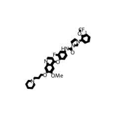 COc1cc2c(Oc3ccc(NC(=O)N4C=CN(c5ccccc5OC(F)(F)F)C4)cc3F)ccnc2cc1OCCCN1CCCCC1